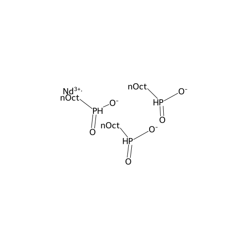 CCCCCCCC[PH](=O)[O-].CCCCCCCC[PH](=O)[O-].CCCCCCCC[PH](=O)[O-].[Nd+3]